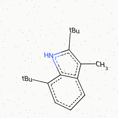 Cc1c(C(C)(C)C)[nH]c2c(C(C)(C)C)cccc12